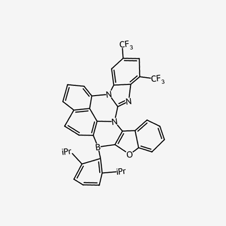 CC(C)c1cccc(C(C)C)c1B1c2oc3ccccc3c2-n2c3c1ccc1cccc(c13)n1c3cc(C(F)(F)F)cc(C(F)(F)F)c3nc21